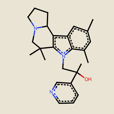 Cc1cc(C)c2c(c1)c1c(n2CC(C)(O)c2cccnc2)C(C)(C)CN2CCCC12